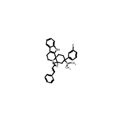 CN(C)C1(c2cccc(F)c2)CCC2(c3[nH]c4ccccc4c3CCN2C(=O)/C=C/c2ccccc2)C(F)(F)C1